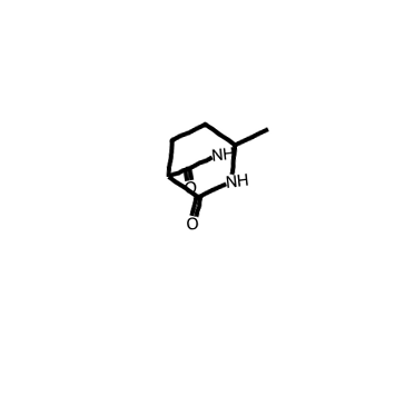 CC12CCC(C(=O)N1)C(=O)N2